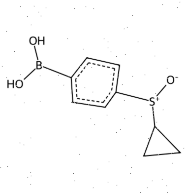 [O-][S+](c1ccc(B(O)O)cc1)C1CC1